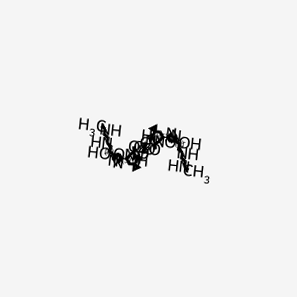 CNCCNC[C@@H](O)c1nnc([C@@H]2CC3(CC3)[C@@H]3CN2C(=O)N3OS(=O)(=O)ON2C(=O)N3C[C@H]2C2(CC2)C[C@H]3c2nnc([C@H](O)CNCCNC)o2)o1